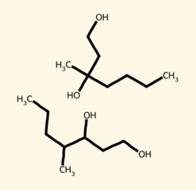 CCCC(C)C(O)CCO.CCCCC(C)(O)CCO